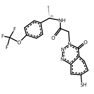 C[C@H](NC(=O)Cn1nnc2cc(S)ccc2c1=O)c1ccc(OC(F)(F)F)cc1